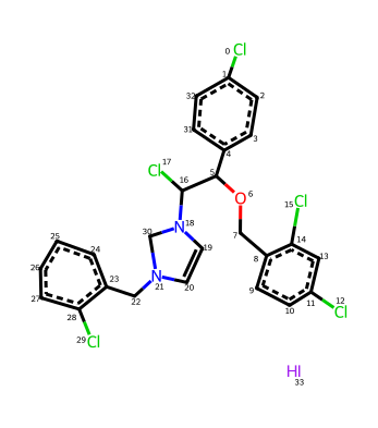 Clc1ccc(C(OCc2ccc(Cl)cc2Cl)C(Cl)N2C=CN(Cc3ccccc3Cl)C2)cc1.I